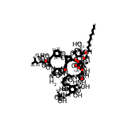 CCCCCCCCCCNCCN(C)[C@@]1(C)CC(OC2C(Oc3c4cc5cc3Oc3ccc(cc3Cl)[C@@H](O)[C@@H](NC(=O)[C@@H](CC(C)C)N(C)C)C(=O)N[C@@H](CC(N)=O)C(=O)N[C@H]5C(=O)N[C@H]3C(=O)N[C@H](C(=O)N[C@H](C(=O)O)c5cc(O)c(CNCP(=O)(O)OC)c(O)c5-c5cc3ccc5O)[C@H](O)c3ccc(c(Cl)c3)O4)O[C@H](CO)[C@@H](O)[C@@H]2O)O[C@@H](C)[C@H]1O